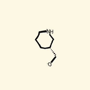 [O]C[C@@H]1CCCNC1